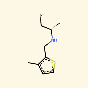 Cc1ccsc1CN[C@@H](C)CC(C)C